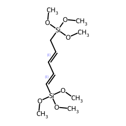 CO[Si](/C=C/C=C/C[Si](OC)(OC)OC)(OC)OC